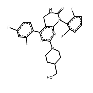 Cc1cc(F)ccc1-c1nc(N2CCC(CO)CC2)nc2c1CNC(=O)N2c1c(F)cccc1F